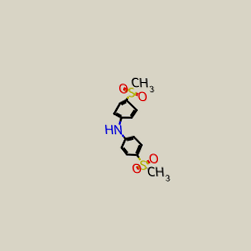 CS(=O)(=O)c1ccc(Nc2ccc(S(C)(=O)=O)cc2)cc1